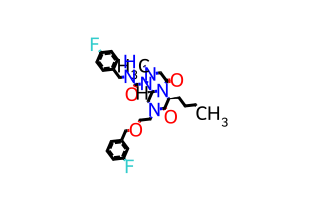 CCCC[C@H]1C(=O)N(CCOCc2cccc(F)c2)C[C@H]2N1C(=O)CN(C)N2C(=O)NCc1ccc(F)cc1